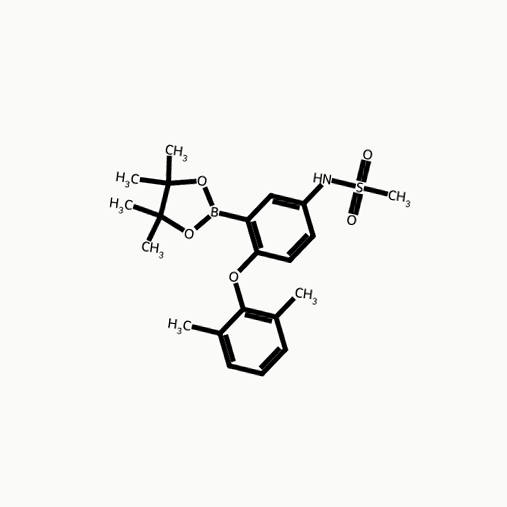 Cc1cccc(C)c1Oc1ccc(NS(C)(=O)=O)cc1B1OC(C)(C)C(C)(C)O1